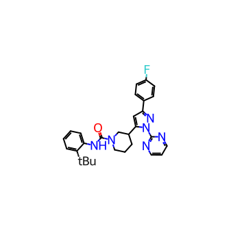 CC(C)(C)c1ccccc1NC(=O)N1CCCC(c2cc(-c3ccc(F)cc3)nn2-c2ncccn2)C1